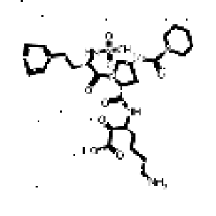 CS(=O)(=O)N[C@H](CCc1ccccc1)C(=O)N1C[C@H](OC(=O)N2CCCCC2)C[C@H]1C(=O)N[C@@H](CCCCN)C(=O)C(=O)O